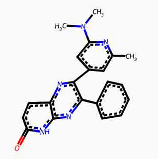 Cc1cc(-c2nc3ccc(=O)[nH]c3nc2-c2ccccc2)cc(N(C)C)n1